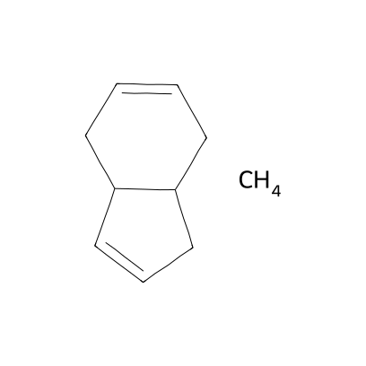 C.C1=CCC2CC=CC2C1